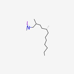 CCCCCCC[C@@H](C)CCC(C)CN(C)I